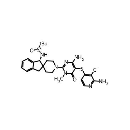 Cn1c(N2CCC3(CC2)Cc2ccccc2[C@H]3N[S+]([O-])C(C)(C)C)nc(N)c(Sc2ccnc(N)c2Cl)c1=O